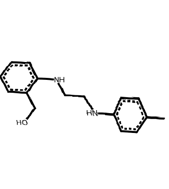 Cc1ccc(NCCNc2ccccc2CO)cc1